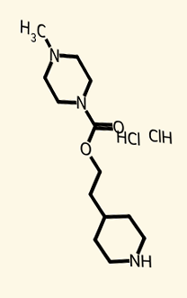 CN1CCN(C(=O)OCCC2CCNCC2)CC1.Cl.Cl